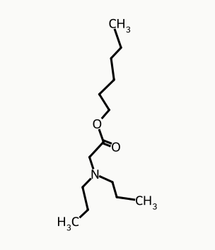 CCCCCCOC(=O)CN(CCC)CCC